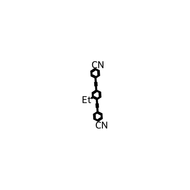 CCc1cc(C#Cc2ccc(C#N)cc2)ccc1C#Cc1ccc(C#N)cc1